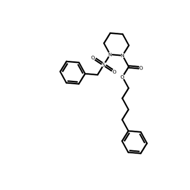 O=C(OCCCCc1ccccc1)N1CCCCN1S(=O)(=O)Cc1ccccc1